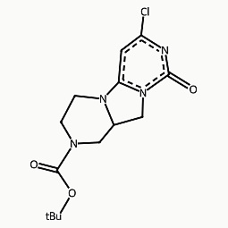 CC(C)(C)OC(=O)N1CCN2c3cc(Cl)nc(=O)n3CC2C1